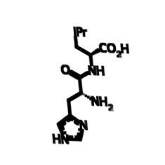 CC(C)C[C@H](NC(=O)[C@H](N)Cc1c[nH]cn1)C(=O)O